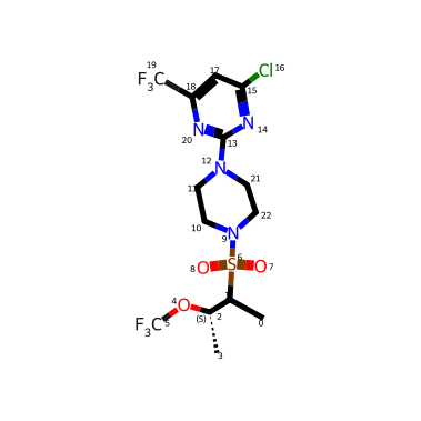 CC([C@H](C)OC(F)(F)F)S(=O)(=O)N1CCN(c2nc(Cl)cc(C(F)(F)F)n2)CC1